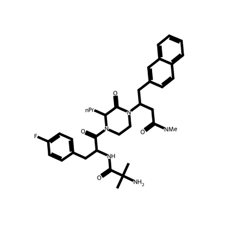 CCCC1C(=O)N(C(CC(=O)NC)Cc2ccc3ccccc3c2)CCN1C(=O)C(Cc1ccc(F)cc1)NC(=O)C(C)(C)N